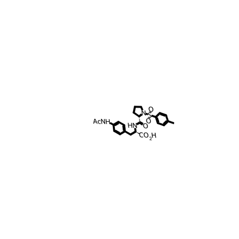 CC(=O)Nc1ccc(C[C@H](NC(=O)[C@@H]2CCCN2S(=O)(=O)c2ccc(C)cc2)C(=O)O)cc1